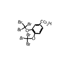 O=C(O)c1ccc(OC(Br)(Br)Br)c(OC(Br)(Br)Br)c1